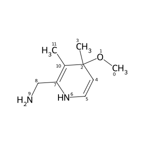 COC1(C)C=CNC(CN)=C1C